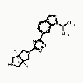 CC(C)n1ncc2ccc(-c3noc(N4C[C@H]5CNC[C@H]5C4)n3)cc21